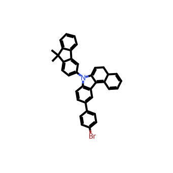 CC1(C)c2ccccc2-c2cc(-n3c4c(c5cc(-c6ccc(Br)cc6)ccc53)=C3C=CC=CC3CC=4)ccc21